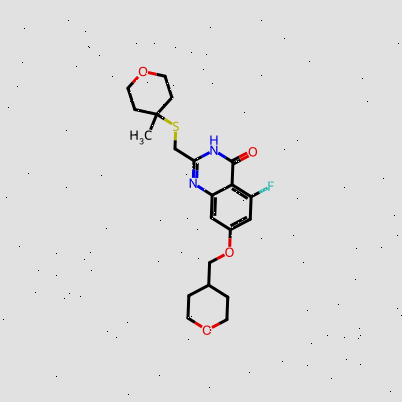 CC1(SCc2nc3cc(OCC4CCOCC4)cc(F)c3c(=O)[nH]2)CCOCC1